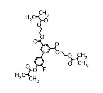 C=C(C)C(=O)OCCOC(=O)c1cc(C(=O)OCCOC(=O)C(=C)C)cc(-c2ccc(OC(=O)C(=C)C)c(F)c2)c1